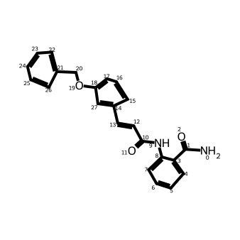 NC(=O)c1ccccc1NC(=O)C=Cc1cccc(OCc2ccccc2)c1